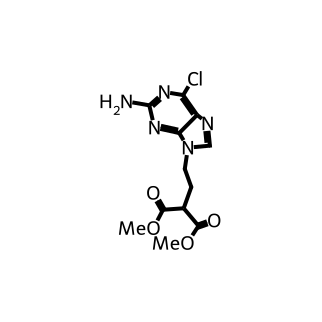 COC(=O)C(CCn1cnc2c(Cl)nc(N)nc21)C(=O)OC